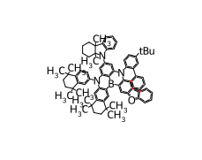 CC(C)(C)c1ccc(N2c3cc4c(cc3B3c5cc6c(cc5N(c5ccc7c(c5)C(C)(C)CCC7(C)C)c5cc(N7c8ccccc8C8(C)CCCCC78C)cc2c53)C(C)(C)CCC6(C)C)oc2ccccc24)c(-c2ccccc2)c1